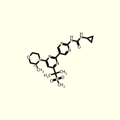 C[C@H]1COCCN1c1cc(C(C)(C)S(C)(=O)=O)nc(-c2cnc(NC(=O)NC3CC3)nc2)n1